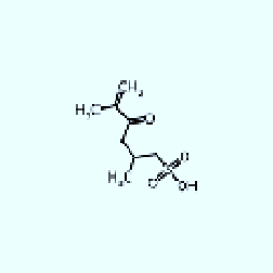 C=C(C)C(=O)CC(C)CS(=O)(=O)O